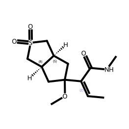 C/C=C(\C(=O)NC)C1(OC)C[C@@H]2CS(=O)(=O)C[C@@H]2C1